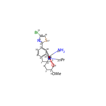 COC1CCC2(CC1)Cc1ccc(-c3nc(Br)cs3)cc1C21N=C(N)N(C(C)C)C1=O